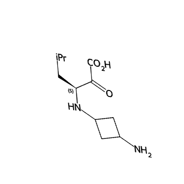 CC(C)C[C@H](NC1CC(N)C1)C(=O)C(=O)O